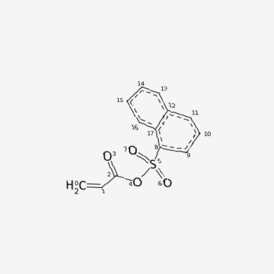 C=CC(=O)OS(=O)(=O)c1cccc2ccccc12